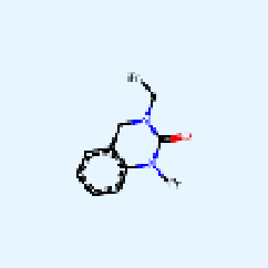 CC(C)CN1Cc2ccccc2N(C(C)C)C1=O